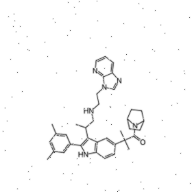 Cc1cc(C)cc(-c2[nH]c3ccc(C(C)(C)C(=O)N4C5CCC4CC5)cc3c2C(C)CNCCn2cnc3cccnc32)c1